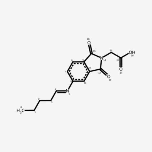 CCCCC=Nc1ccc2c(c1)C(=O)N(CC(=O)O)C2=O